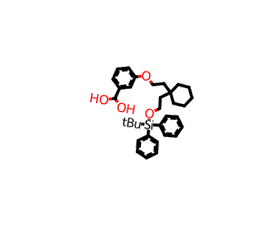 CC(C)(C)[Si](OCCC1(CCOc2cccc(C(O)O)c2)CCCCC1)(c1ccccc1)c1ccccc1